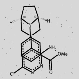 COC(=O)c1cccc(N2[C@@H]3CC[C@H]2CN(c2cc(Cl)nnc2N)C3)c1